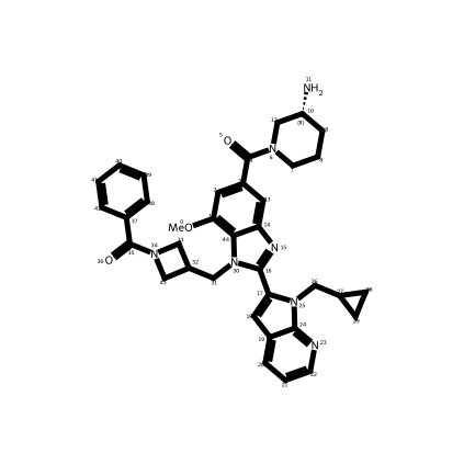 COc1cc(C(=O)N2CCC[C@@H](N)C2)cc2nc(-c3cc4cccnc4n3CC3CC3)n(CC3CN(C(=O)c4ccccc4)C3)c12